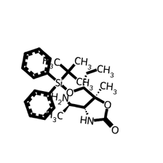 CC[C@@H](O[Si](c1ccccc1)(c1ccccc1)C(C)(C)C)[C@@]1(C)OC(=O)N[C@@H]1[C@@H](C)N